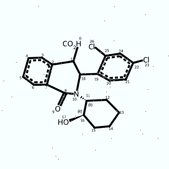 O=C(O)C1c2ccccc2C(=O)N([C@@H]2CCCC[C@H]2O)C1c1ccc(Cl)cc1Cl